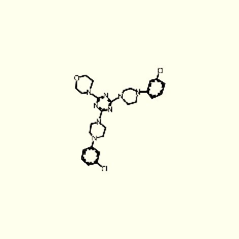 Clc1cccc(N2CCN(c3nc(N4CCOCC4)nc(N4CCN(c5cccc(Cl)c5)CC4)n3)CC2)c1